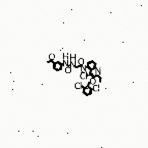 CCc1nc2cccc(N(C)C(=O)CNC(=O)Nc3cccc(C(C)=O)c3)c2c(Cl)c1OCc1c(Cl)cccc1Cl